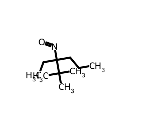 CCCC(CC)(N=O)C(C)(C)C